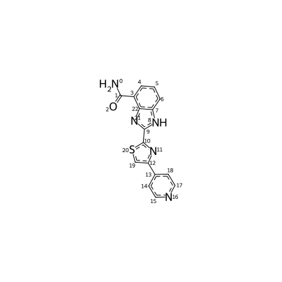 NC(=O)c1cccc2[nH]c(-c3nc(-c4ccncc4)cs3)nc12